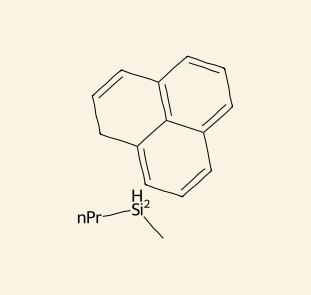 C1=Cc2cccc3cccc(c23)C1.CCC[SiH2]C